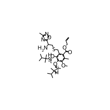 C=CCOC(=O)c1c(C)c(OC)c(O[SiH](C)C(C)(C)C(C)C)c(O[SiH](C)C(C)(C)C(C)C)c1CSCC(N)c1nc(C)no1